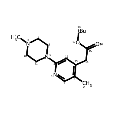 Cc1cnc(N2CCN(C)CC2)cc1CC(=O)OC(C)(C)C